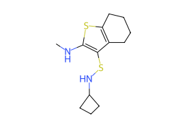 CNc1sc2c(c1SNC1CCC1)CCCC2